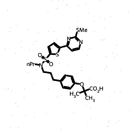 CCCN(CCCc1ccc(OC(C)(C)C(=O)O)cc1)S(=O)(=O)c1ccc(-c2ccnc(SC)n2)s1